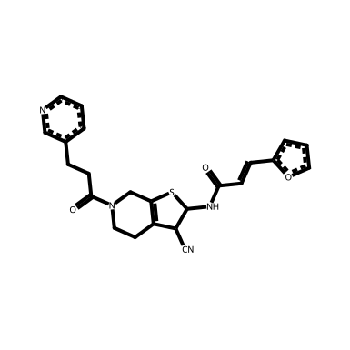 N#CC1C2=C(CN(C(=O)CCc3cccnc3)CC2)SC1NC(=O)/C=C/c1ccco1